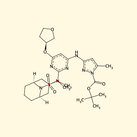 CCS(=O)(=O)N1[C@@H]2CCC[C@H]1C[C@H](N(C)c1nc(Nc3cc(C)n(C(=O)OC(C)(C)C)n3)cc(O[C@H]3CCOC3)n1)C2